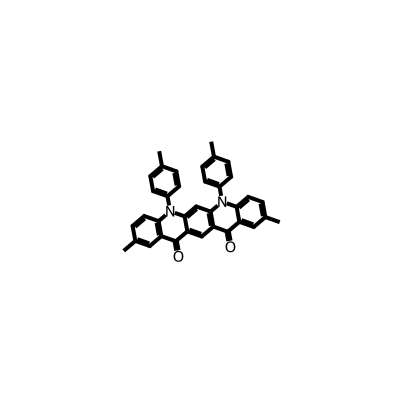 Cc1ccc(-n2c3ccc(C)cc3c(=O)c3cc4c(=O)c5cc(C)ccc5n(-c5ccc(C)cc5)c4cc32)cc1